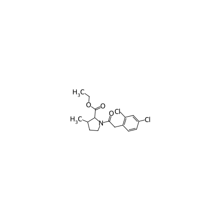 CCOC(=O)C1C(C)CCN1C(=O)Cc1ccc(Cl)cc1Cl